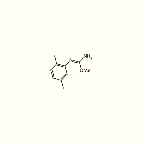 CO/C(N)=N\c1cc(C)ccc1C